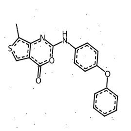 Cc1scc2c(=O)oc(Nc3ccc(Oc4ccccc4)cc3)nc12